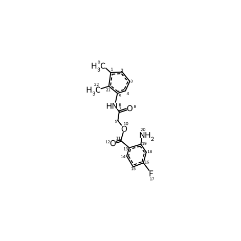 Cc1cccc(NC(=O)COC(=O)c2ccc(F)cc2N)c1C